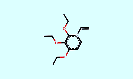 C=C[si]1ccc(OCC)c(OCC)c1OCC